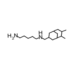 CC1CC2CC(CNCCCCCN)CC(C2)C1C